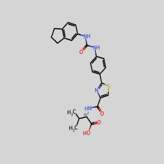 CC(C)[C@H](NC(=O)c1csc(-c2ccc(NC(=O)Nc3ccc4c(c3)CCC4)cc2)n1)C(=O)O